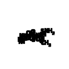 CO/N=C(\C(=O)NC1C(=O)N2C(C(=O)O)=C(CSc3nnnn3N)CS[C@H]12)c1csc(N)n1